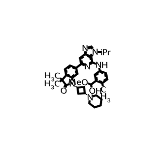 COC(O)c1cc(Nc2nc(-c3ccc4c(c3)N([C@H]3C[C@@H](N5CCCCC5)C3)C(=O)C4(C)C)cc3ncn(C(C)C)c23)ccc1C